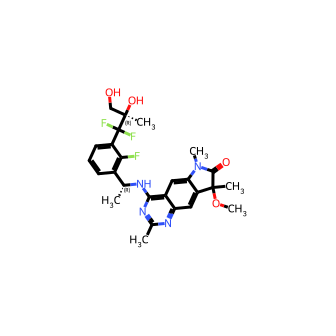 COC1(C)C(=O)N(C)c2cc3c(N[C@H](C)c4cccc(C(F)(F)[C@](C)(O)CO)c4F)nc(C)nc3cc21